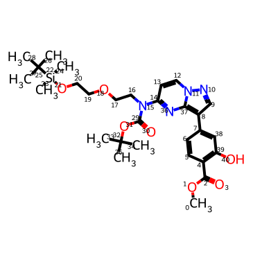 COC(=O)c1ccc(-c2cnn3ccc(N(CCOCCO[Si](C)(C)C(C)(C)C)C(=O)OC(C)(C)C)nc23)cc1O